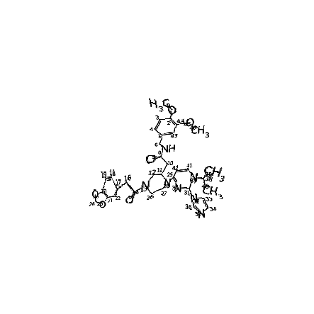 COc1ccc(CNC(=O)CC2CN(C(=O)Cc3ccc4c(c3)OCO4)CCN2C2=NC(n3ccnc3)N(C(C)C)C=C2)cc1OC